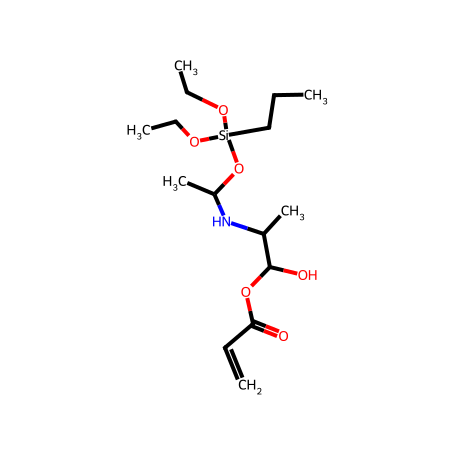 C=CC(=O)OC(O)C(C)NC(C)O[Si](CCC)(OCC)OCC